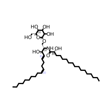 CCCCCCCCC/C=C\CC/C=C/[C@@H](O)[C@H](CO[C@@H]1O[C@H](CO)[C@@H](O)C(O)C1O)NC(=O)[C@H](O)CCCCCCCCCCCCCCC